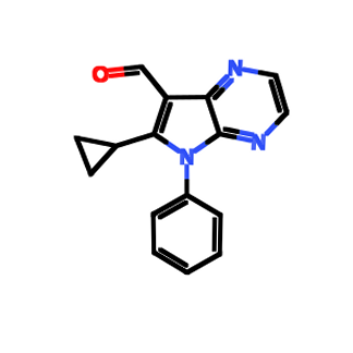 O=Cc1c(C2CC2)n(-c2ccccc2)c2nccnc12